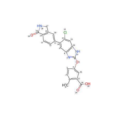 Cc1ccc(Oc2nc3cc(-c4ccc5c(c4)CNC5=O)c(Cl)cc3[nH]2)cc1C(=O)O